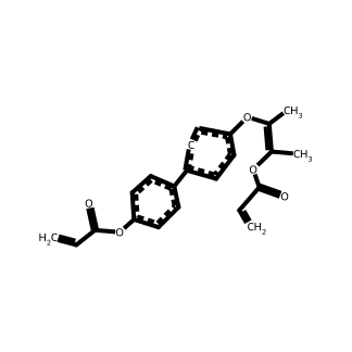 C=CC(=O)OC(C)=C(C)Oc1ccc(-c2ccc(OC(=O)C=C)cc2)cc1